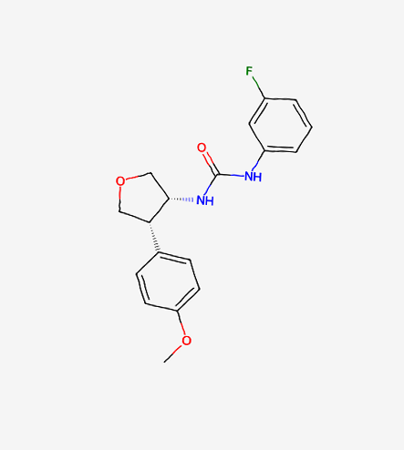 COc1ccc([C@@H]2COC[C@@H]2NC(=O)Nc2cccc(F)c2)cc1